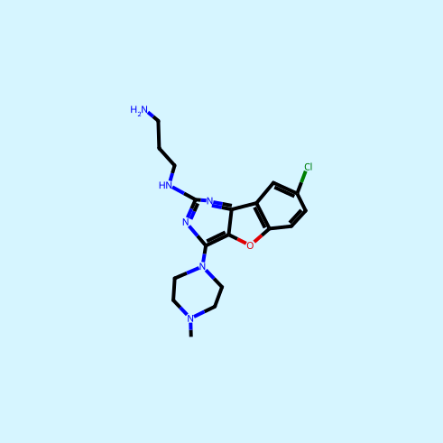 CN1CCN(c2nc(NCCCN)nc3c2oc2ccc(Cl)cc23)CC1